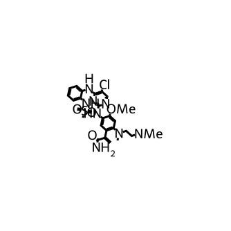 C=C(C(N)=O)c1cc(Nc2ncc(Cl)c(Nc3ccccc3NS(C)(=O)=O)n2)c(OC)cc1N(C)CCNC